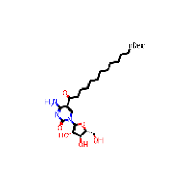 CCCCCCCCCCCCCCCCCCCCCC(=O)c1cn(C2O[C@H](CO)[C@@H](O)[C@@H]2O)c(=O)nc1N